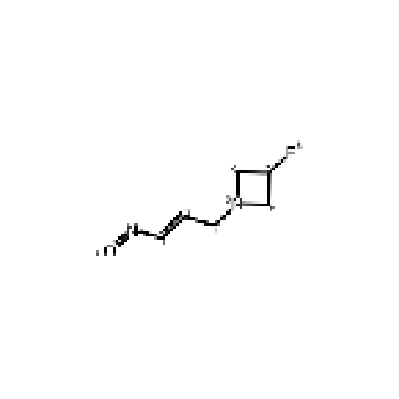 O=N/C=C/CN1CC(F)C1